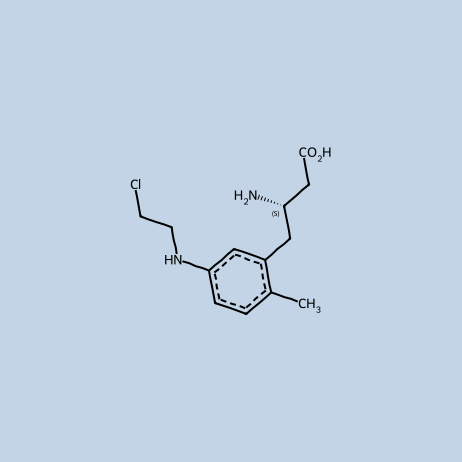 Cc1ccc(NCCCl)cc1C[C@H](N)CC(=O)O